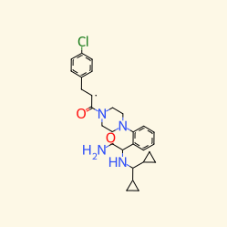 NC(=O)C(NC(C1CC1)C1CC1)c1ccccc1N1CCN(C(=O)[CH]Cc2ccc(Cl)cc2)CC1